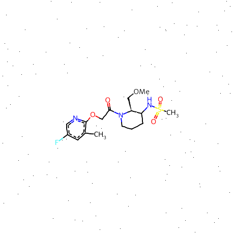 COC[C@H]1C(NS(C)(=O)=O)CCCN1C(=O)COc1ncc(F)cc1C